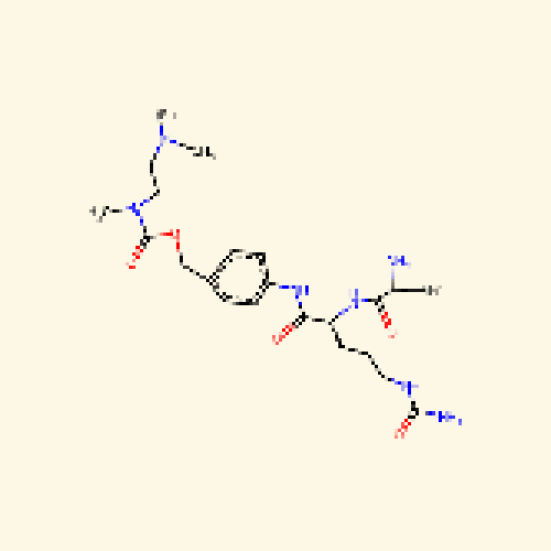 CC(C)[C@H](N)C(=O)N[C@@H](CCCNC(N)=O)C(=O)Nc1ccc(COC(=O)N(C)CCN(C)C(C)(C)C)cc1